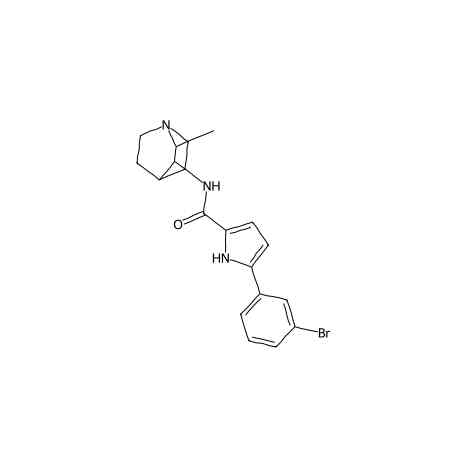 CC1C(NC(=O)c2ccc(-c3cccc(Br)c3)[nH]2)C2CCN1CC2